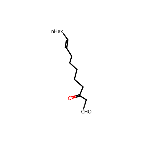 CCCCCCC=CCCCCCC(=O)CC=O